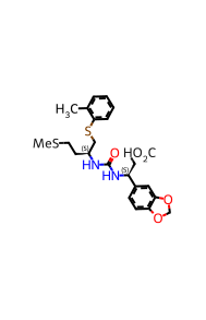 CSCC[C@@H](CSc1ccccc1C)NC(=O)N[C@@H](CC(=O)O)c1ccc2c(c1)OCO2